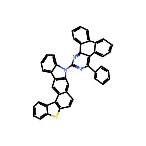 c1ccc(-c2nc(-n3c4ccccc4c4cc5c(ccc6sc7ccccc7c65)cc43)nc3c4ccccc4c4ccccc4c23)cc1